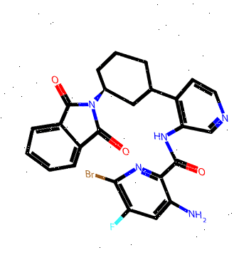 Nc1cc(F)c(Br)nc1C(=O)Nc1cnccc1C1CCC[C@H](N2C(=O)c3ccccc3C2=O)C1